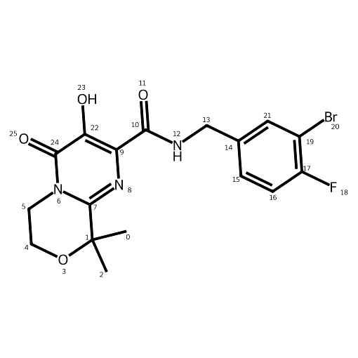 CC1(C)OCCn2c1nc(C(=O)NCc1ccc(F)c(Br)c1)c(O)c2=O